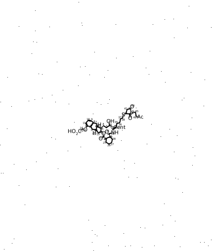 CCCCC[C@H](O)CC[C@@H]1[C@H]2Cc3cccc(OCC(=O)O)c3C[C@H]2C[C@H]1OC(=O)[C@@H]1CCCC[C@@H]1C(=O)NCCCCCCSC1CC(=O)N(CCC(C)=O)C1=O